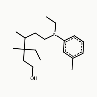 CCN(CCC(C)C(C)(CC)CCO)c1cccc(C)c1